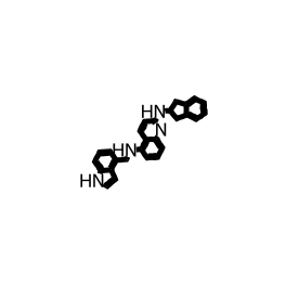 c1ccc2c(c1)CC(Nc1ccc3c(NCc4cccc5[nH]ccc45)cccc3n1)C2